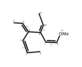 C\C=C/C(=C\C)C(/C=C\OC)=C\C